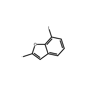 [CH2]c1cc2cccc(I)c2o1